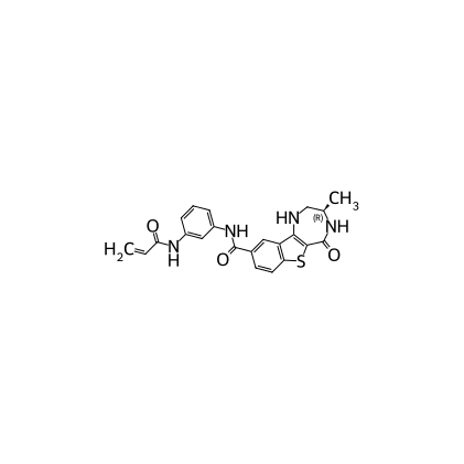 C=CC(=O)Nc1cccc(NC(=O)c2ccc3sc4c(c3c2)NC[C@@H](C)NC4=O)c1